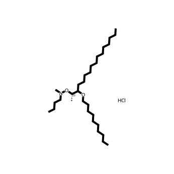 CCCCCCCCCCCCCC(OCCCCCCCCCC)[C@H](C)ON(C)CCCC.Cl